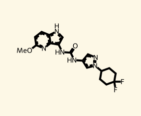 COc1ccc2[nH]cc(NC(=O)Nc3cnn(C4CCC(F)(F)CC4)c3)c2n1